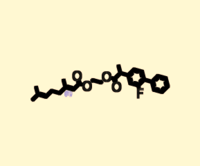 CC(C)=CCC/C(C)=C/C(=O)OCCOC(=O)C(C)c1ccc(-c2ccccc2)c(F)c1